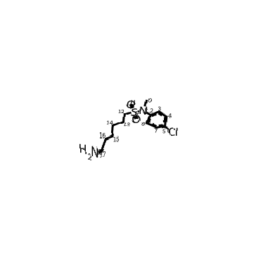 CN(c1ccc(Cl)cc1)S(=O)(=O)CCCCCCN